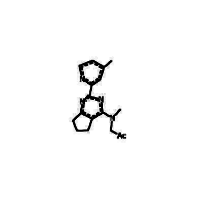 CC(=O)CN(C)c1nc(-c2cc(C)ccn2)nc2c1CCC2